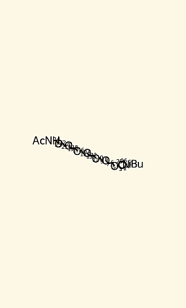 CCC(C)N1CCC(OCCOCCOCCOCCOCCOCCONC(C)=O)CC1